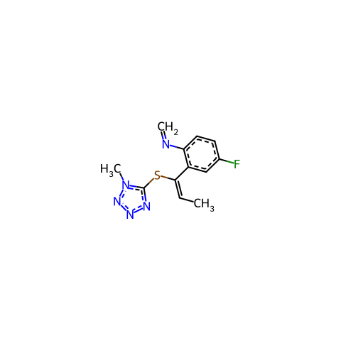 C=Nc1ccc(F)cc1/C(=C\C)Sc1nnnn1C